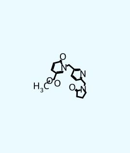 COC(=O)c1ccc(=O)n(Cc2ccc(CN3CCCC3=O)nc2)c1